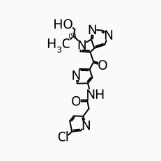 C[C@@H](CO)n1cc(C(=O)c2cncc(NC(=O)Cc3ccc(Cl)cn3)c2)c2cncnc21